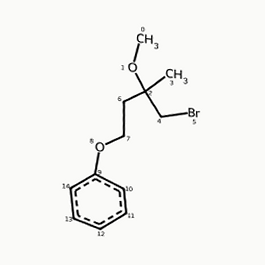 COC(C)(CBr)CCOc1ccccc1